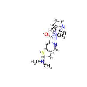 C[C@H]1[C@H](NC(=O)c2cc3sc(N(C)C)cc3cn2)C2CCN1CC2